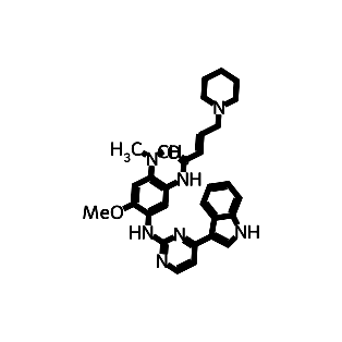 COc1cc(N(C)C)c(NC(=O)/C=C/CN2CCCCC2)cc1Nc1nccc(-c2c[nH]c3ccccc23)n1